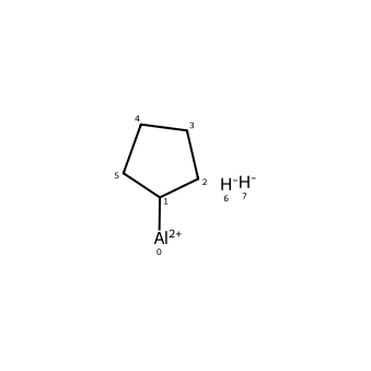 [Al+2][CH]1CCCC1.[H-].[H-]